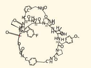 CC[C@H]1NC(=O)CCOCCC(=O)N2CCCCCCn3cc(c4cc(F)ccc43)C[C@@H]3NC(=O)[C@H](Cc4cccc(c4)CNC(=O)CO[C@H]4CCN(C3=O)[C@@H]4C(=O)N[C@@H]([C@@H](C)O)C(=O)N[C@@H](Cc3ccc(OC)cc3)C(=O)N3CCC[C@@]3(C)C(=O)NCCc3ccc(cc3)C2)NC1=O